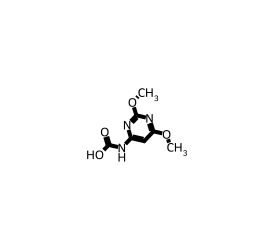 COc1cc(NC(=O)O)nc(OC)n1